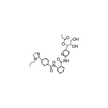 CCCN1CCN=C1c1ccc(C(=O)Nc2ccccc2C(=O)Nc2ccc(C(OC(=O)CC)C(O)CO)cn2)cc1